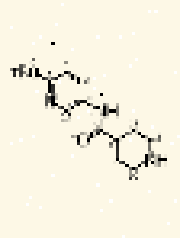 CC(C)(C)c1ccc(NC(=O)C2CCNCC2)cn1